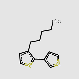 CCCCCCCCCCCCc1ccsc1-c1ccsc1